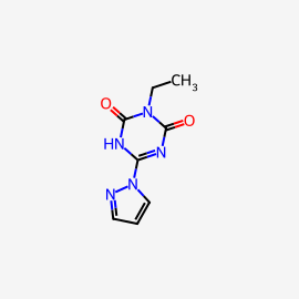 CCn1c(=O)nc(-n2cccn2)[nH]c1=O